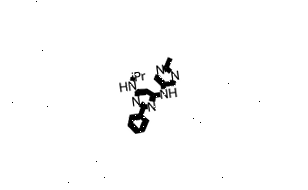 Cc1ncc(Nc2cc(NC(C)C)nc(-c3ccccc3)n2)cn1